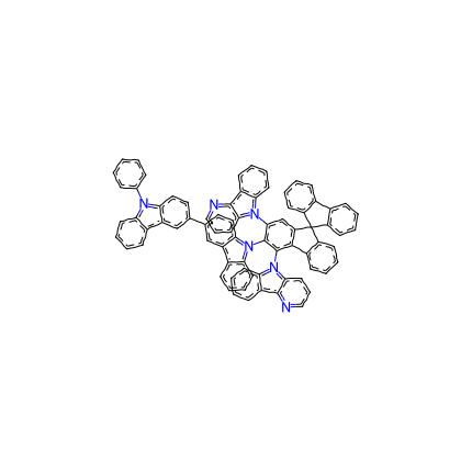 c1ccc(-n2c3ccccc3c3cc(-c4ccc5c(c4)c4ccccc4n5-c4c(-n5c6ccccc6c6ncccc65)cc5c(c4-n4c6ccccc6c6ncccc64)-c4ccccc4C54c5ccccc5-c5ccccc54)ccc32)cc1